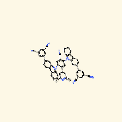 Cc1cc(-c2cc(-n3c4ccccc4c4ccc(-c5cc(C#N)cc(C#N)c5)cc43)c(C#N)cc2-n2c3ccccc3c3ccc(-c4cc(C#N)cc(C#N)c4)cc32)cc(C)n1